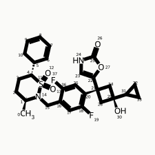 C[C@H]1CC[C@H](C2C=CC=CC2)S(=O)(=O)N1Cc1cc(F)c([C@]2(c3c[nH]c(=O)o3)C[C@@](O)(C3CC3)C2)cc1F